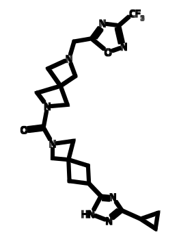 O=C(N1CC2(CC(c3nc(C4CC4)n[nH]3)C2)C1)N1CC2(CN(Cc3nc(C(F)(F)F)no3)C2)C1